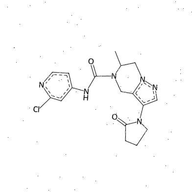 CC1Cn2ncc(N3CCCC3=O)c2CN1C(=O)Nc1ccnc(Cl)c1